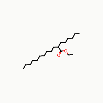 CCCCCCCCCCC(CCCCCC)C(=O)OCC